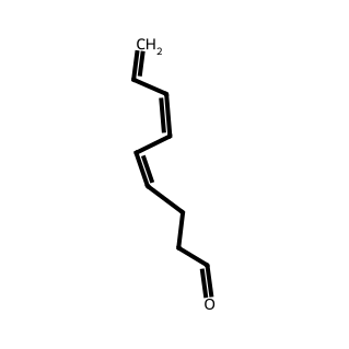 C=C/C=C\C=C/CCC=O